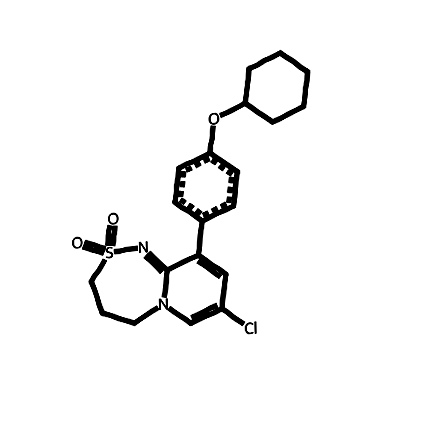 O=S1(=O)CCCN2C=C(Cl)C=C(c3ccc(OC4CCCCC4)cc3)C2=N1